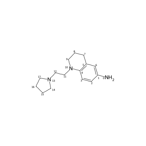 Nc1ccc2c(c1)CCCN2CCN1CCCC1